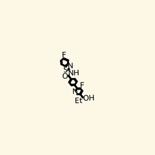 CCC(O)c1cnc(-c2ccc(C(=O)Nc3nc4cc(F)ccc4s3)cc2)c(F)c1